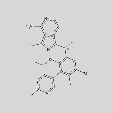 CCOc1c([C@@H](C)c2nc(Cl)c3c(N)nccn23)cc(Cl)c(C)c1-c1ccc(C)nc1